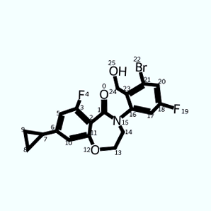 O=C1c2c(F)cc(C3CC3)cc2OCCN1c1cc(F)cc(Br)c1CO